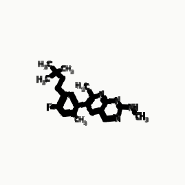 CNc1ncc2cc(-c3cc(CCC(C)(C)C)c(F)[c]c3C)c(C)nc2n1